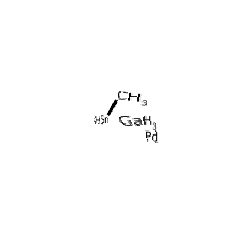 [CH3][SnH].[GaH3].[Pd]